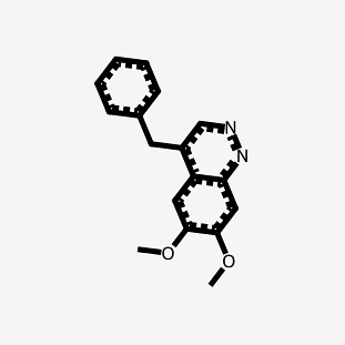 COc1cc2nncc(Cc3ccccc3)c2cc1OC